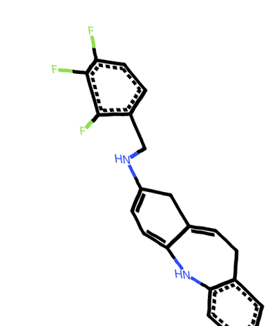 Fc1ccc(CNC2=CC=C3Nc4ccccc4CC=C3C2)c(F)c1F